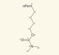 [CH2]CCCCCCCCOC(=O)N(C)C